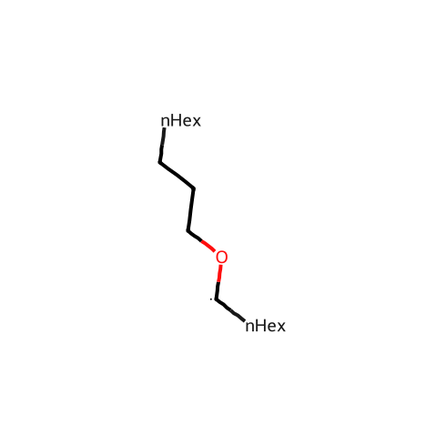 CCCCCC[CH]OCCCCCCCCC